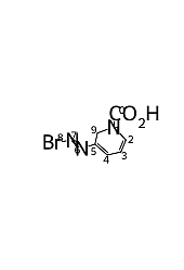 O=C(O)N1C=CC=C(N=NBr)C1